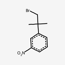 CC(C)(CBr)c1cccc([N+](=O)[O-])c1